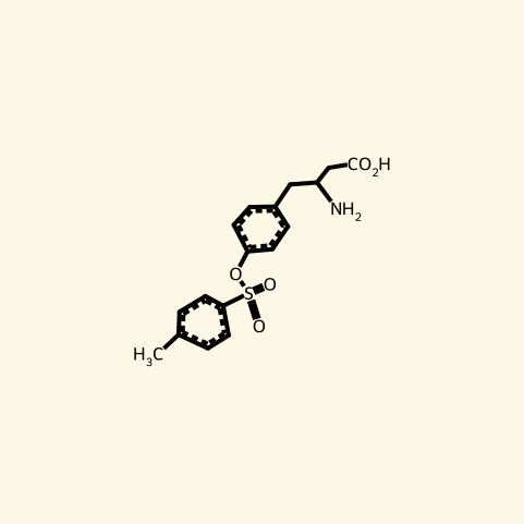 Cc1ccc(S(=O)(=O)Oc2ccc(CC(N)CC(=O)O)cc2)cc1